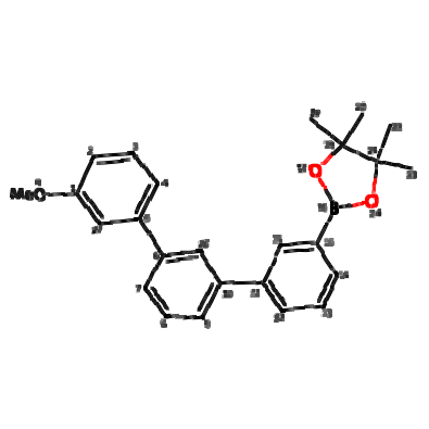 COc1cccc(-c2cccc(-c3cccc(B4OC(C)(C)C(C)(C)O4)c3)c2)c1